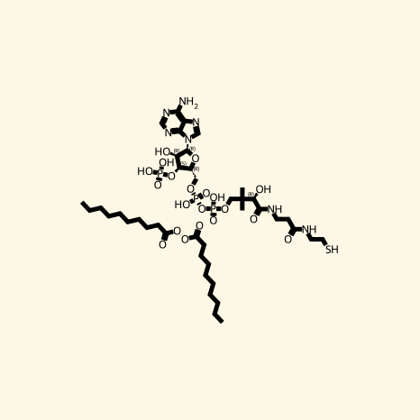 CC(C)(COP(=O)(O)OP(=O)(O)OC[C@H]1O[C@@H](n2cnc3c(N)ncnc32)[C@H](O)[C@@H]1OP(=O)(O)O)[C@@H](O)C(=O)NCCC(=O)NCCS.CCCCCCCCCC(=O)OOC(=O)CCCCCCCCC